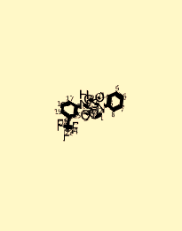 CCN(c1ccccc1)S(=O)(=O)S(=O)(=O)Nc1cccc(C(F)(F)F)c1